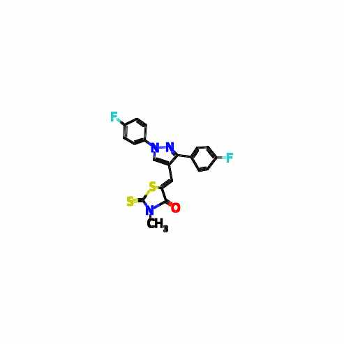 CN1C(=O)/C(=C/c2cn(-c3ccc(F)cc3)nc2-c2ccc(F)cc2)SC1=S